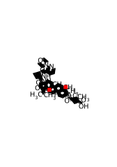 CC(C)C1=C2[C@H]3CC[C@@H]4[C@@]5(C)CC[C@H](OC(=O)[C@H]6C[C@@H](C(=O)O)C6(C)C)C(C)(C)[C@@H]5CC[C@@]4(C)[C@]3(C)CC[C@@]2(NC(=O)C2(NC(=O)c3cccnc3N3CCOCC3)CCC2)CC1=O